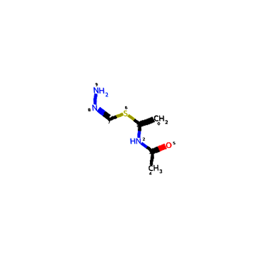 C=C(NC(C)=O)S/C=N\N